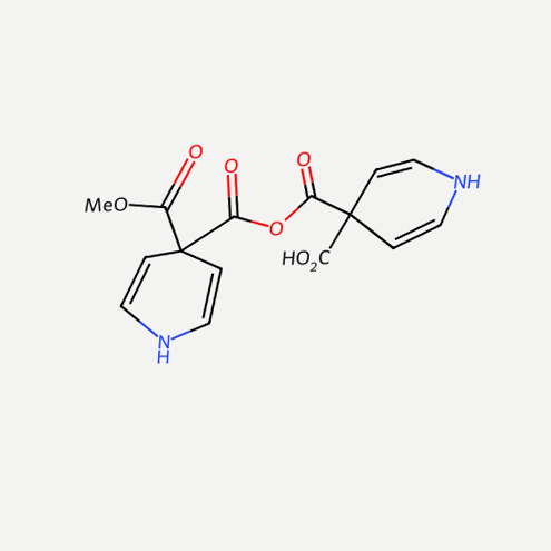 COC(=O)C1(C(=O)OC(=O)C2(C(=O)O)C=CNC=C2)C=CNC=C1